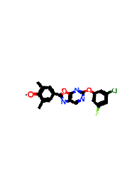 Cc1cc(-c2nc3cnc(Oc4cc(F)cc(Cl)c4)nc3o2)cc(C)c1[O]